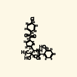 CC(O)(C(NC(=O)c1ccccc1O)c1ccc(S(=O)(=O)c2ccc(Cl)cc2)s1)C(F)(F)F